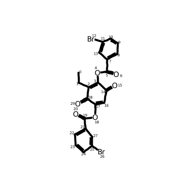 CCC1=C(OC(=O)c2cccc(Br)c2)C(=O)C=C(OC(=O)c2cccc(Br)c2)C1=O